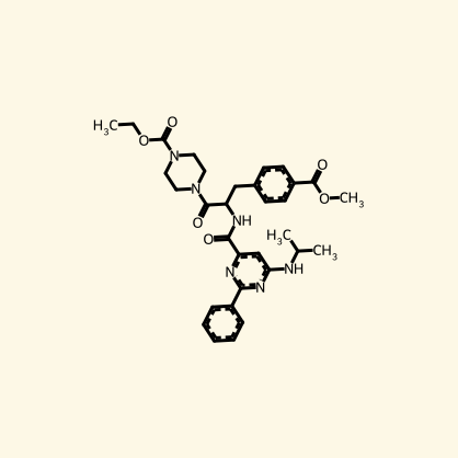 CCOC(=O)N1CCN(C(=O)C(Cc2ccc(C(=O)OC)cc2)NC(=O)c2cc(NC(C)C)nc(-c3ccccc3)n2)CC1